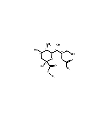 COC(=O)[C@]1(O)C[C@@H](O)[C@@H](N)C([C@H](O)[C@@H](CO)OC(C)=O)O1